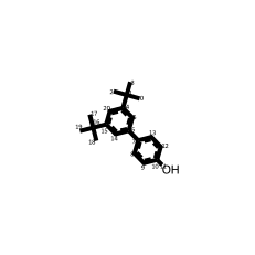 CC(C)(C)c1cc(-c2ccc(O)cc2)cc(C(C)(C)C)c1